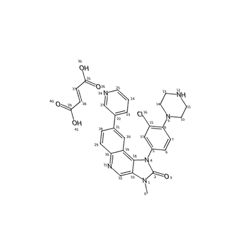 Cn1c(=O)n(-c2ccc(N3CCNCC3)c(Cl)c2)c2c3cc(-c4cccnc4)ccc3ncc21.O=C(O)C=CC(=O)O